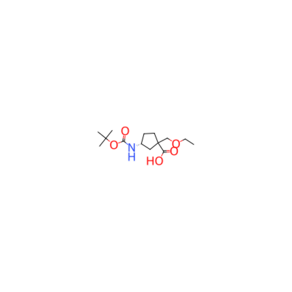 CCOCC1(C(=O)O)CC[C@@H](NC(=O)OC(C)(C)C)C1